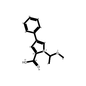 COC(C)n1cc(-c2ccccc2)cc1C(=O)O